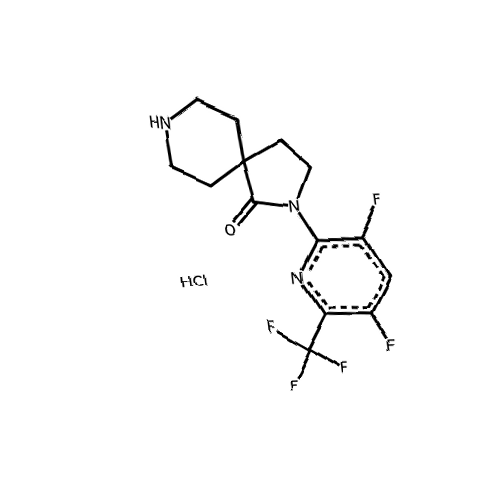 Cl.O=C1N(c2nc(C(F)(F)F)c(F)cc2F)CCC12CCNCC2